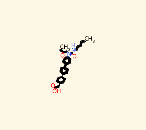 CCCCCCNC(=O)N1CC(CC)Oc2cc(-c3ccc([C@H]4CC[C@H](CC(=O)O)CC4)cc3)ccc21